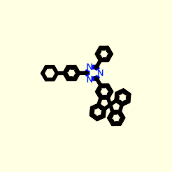 c1ccc(-c2nc(-c3ccc(C4CCCCC4)cc3)nc(-c3ccc4c(c3)-c3ccccc3C43c4ccccc4-c4ccccc43)n2)cc1